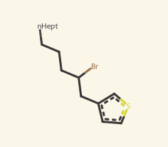 CCCCCCCCCCC(Br)Cc1ccsc1